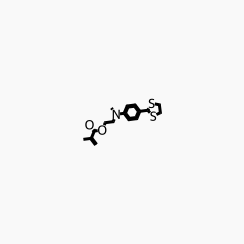 C=C(C)C(=O)OCCN(C)c1ccc(C2SCCS2)cc1